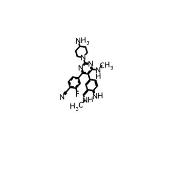 CN/C=C1/C=C(c2c(NC)nc(N3CCC(N)CC3)nc2-c2ccc(C#N)c(F)c2)C=CC1=N